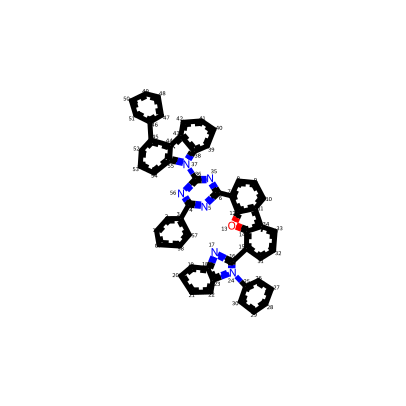 c1ccc(-c2nc(-c3cccc4c3oc3c(-c5nc6ccccc6n5-c5ccccc5)cccc34)nc(-n3c4ccccc4c4c(-c5ccccc5)cccc43)n2)cc1